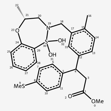 COC(=O)CC(c1ccc(SC)cc1)c1ccc(C)c(CN2C[C@@H](C)Oc3ccccc3S2(O)O)c1